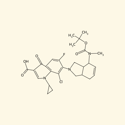 CN(C(=O)OC(C)(C)C)C1C=CCC2CN(c3c(F)cc4c(=O)c(C(=O)O)cn(C5CC5)c4c3Cl)CC21